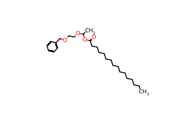 CCCCCCCCCCCCCCCC(=O)OC(C)OCCOCc1ccccc1